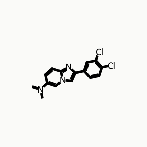 CN(C)c1ccc2nc(-c3ccc(Cl)c(Cl)c3)cn2c1